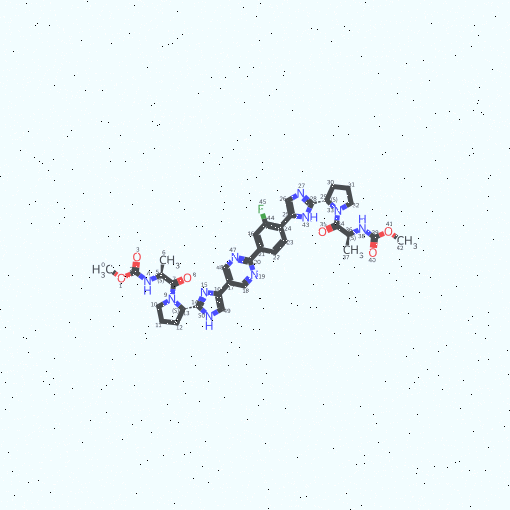 COC(=O)N[C@@H](C)C(=O)N1CCC[C@H]1c1nc(-c2cnc(-c3ccc(-c4cnc([C@@H]5CCCN5C(=O)[C@H](C)NC(=O)OC)[nH]4)c(F)c3)nc2)c[nH]1